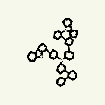 c1ccc(-c2ccccc2-c2cccc(N(c3ccc(-c4cccc5c4oc4ccccc45)cc3)c3cccc(-c4cccc(-c5ccccc5-n5c6ccccc6c6ccccc65)c4)c3)c2)cc1